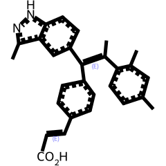 C/C(=C(/c1ccc(/C=C/C(=O)O)cc1)c1ccc2[nH]nc(C)c2c1)c1ccc(C)cc1C